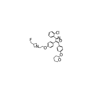 FCC1CN(CCOc2ccc(-c3c(-c4ccccc4Cl)noc3-c3ccc(OC4CCCCO4)cc3)cc2)C1